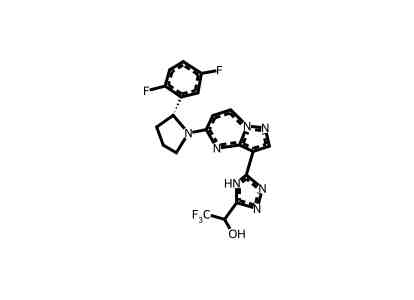 OC(c1nnc(-c2cnn3ccc(N4CCC[C@@H]4c4cc(F)ccc4F)nc23)[nH]1)C(F)(F)F